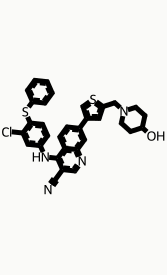 N#Cc1cnc2cc(-c3csc(CN4CCC(O)CC4)c3)ccc2c1Nc1ccc(Sc2ccccc2)c(Cl)c1